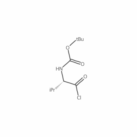 CC(C)[C@H](NC(=O)OC(C)(C)C)C(=O)Cl